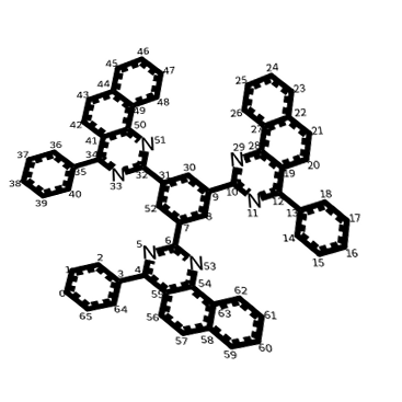 c1ccc(-c2nc(-c3cc(-c4nc(-c5ccccc5)c5ccc6ccccc6c5n4)cc(-c4nc(-c5ccccc5)c5ccc6ccccc6c5n4)c3)nc3c2ccc2ccccc23)cc1